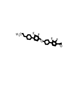 CCCC1CCC(c2ccc(COC3CCC(c4ccc(C5CO5)c(F)c4F)CC3)c(F)c2F)CC1